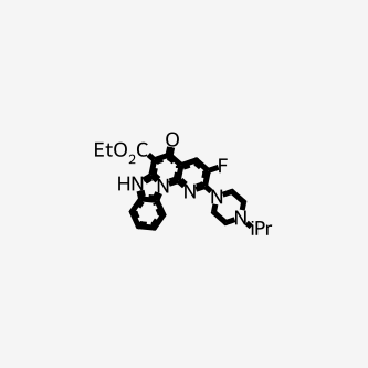 CCOC(=O)c1c(=O)c2cc(F)c(N3CCN(C(C)C)CC3)nc2n2c1[nH]c1ccccc12